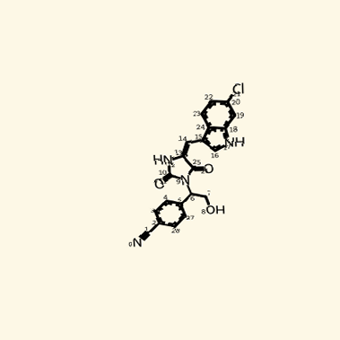 N#Cc1ccc(C(CO)N2C(=O)NC(=Cc3c[nH]c4cc(Cl)ccc34)C2=O)cc1